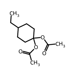 CCC1CCC(OC(C)=O)(OC(C)=O)CC1